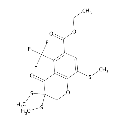 CCOC(=O)c1cc(SC)c2c(c1C(F)(F)F)C(=O)C(SC)(SC)CO2